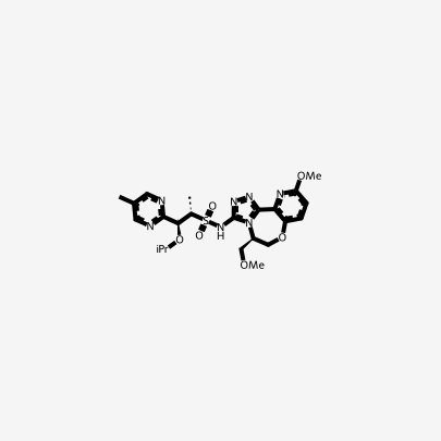 COC[C@@H]1COc2ccc(OC)nc2-c2nnc(NS(=O)(=O)[C@@H](C)[C@@H](OC(C)C)c3ncc(C)cn3)n21